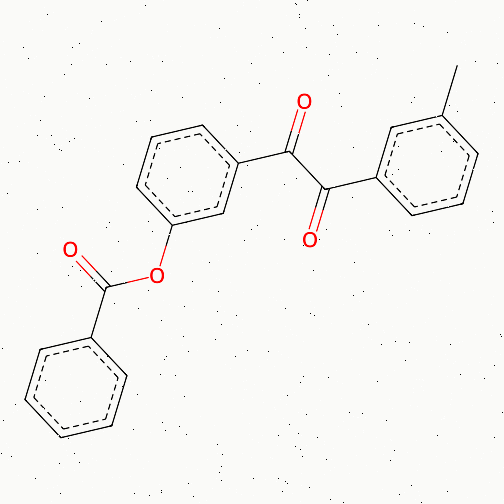 Cc1cccc(C(=O)C(=O)c2cccc(OC(=O)c3ccccc3)c2)c1